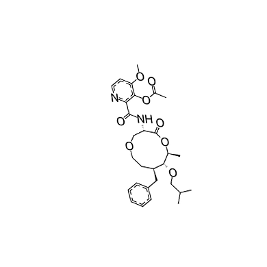 COc1ccnc(C(=O)N[C@H]2COCC[C@H](Cc3ccccc3)[C@@H](OCC(C)C)[C@H](C)OC2=O)c1OC(C)=O